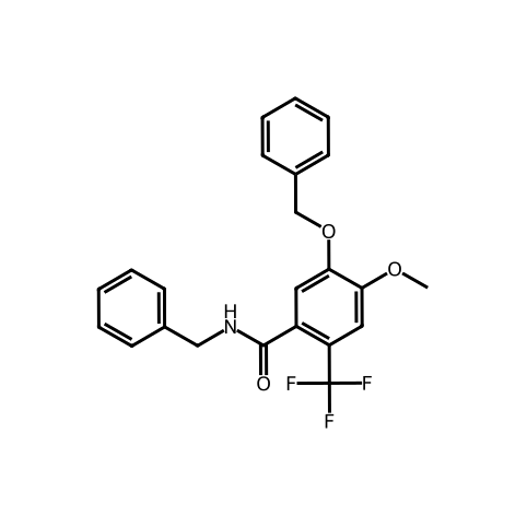 COc1cc(C(F)(F)F)c(C(=O)NCc2ccccc2)cc1OCc1ccccc1